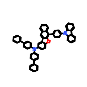 c1ccc(-c2ccc(N(c3ccc(-c4ccccc4)cc3)c3ccc4oc5c(-c6ccc(-n7c8ccccc8c8ccccc87)cc6)c6ccccc6cc5c4c3)cc2)cc1